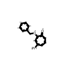 CC(C)c1cccc(=O)c(OCc2ccccc2)c1